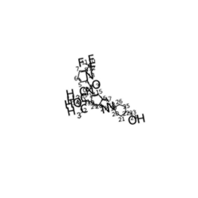 CN(C(=O)c1cccc(C(F)(F)F)n1)c1cc2cn([C@H]3CC[C@H](CO)CC3)nc2cc1C(C)(C)O